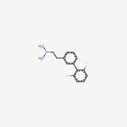 CN(C)CCc1cccc(-c2c(F)cccc2F)c1